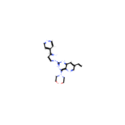 C=Cc1cnc2c(N3CCOCC3)nc(-n3ccc(-c4ccncc4)n3)nc2c1